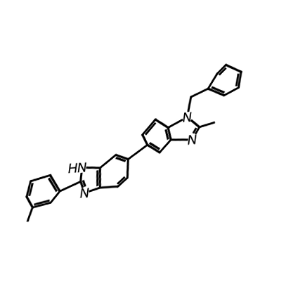 Cc1cccc(-c2nc3ccc(-c4ccc5c(c4)nc(C)n5Cc4ccccc4)cc3[nH]2)c1